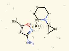 CC(C)(C)c1cc(N)no1.O=C(O)[C@@H]1CCCCN1C1CC1